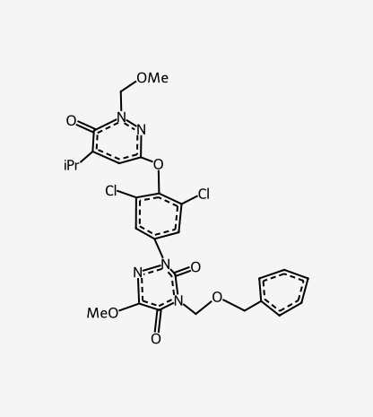 COCn1nc(Oc2c(Cl)cc(-n3nc(OC)c(=O)n(COCc4ccccc4)c3=O)cc2Cl)cc(C(C)C)c1=O